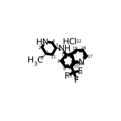 C[C@@H]1CNC[C@H](Nc2ccc(C(F)(F)F)c3ncccc23)C1.Cl